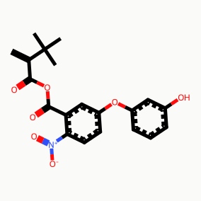 C=C(C(=O)OC(=O)c1cc(Oc2cccc(O)c2)ccc1[N+](=O)[O-])C(C)(C)C